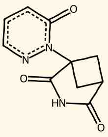 O=C1NC(=O)C2(n3ncccc3=O)CC1C2